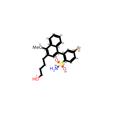 COc1c(CCCCO)cc(-c2cc(Br)ccc2S(N)(=O)=O)c2ccccc12